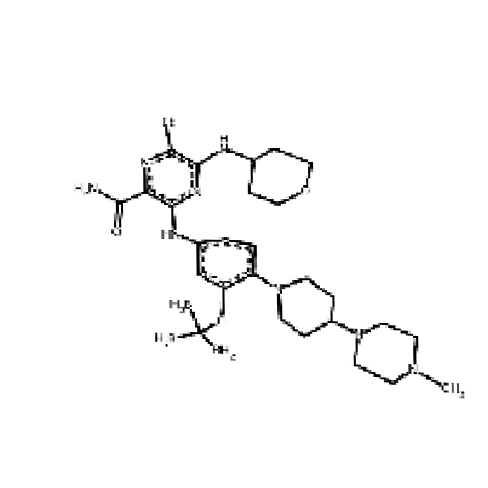 BC(B)(B)Oc1cc(Nc2nc(NC3CCOCC3)c(CC)nc2C(N)=O)ccc1N1CCC(N2CCN(C)CC2)CC1